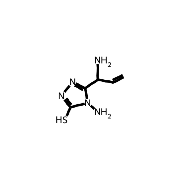 C=CC(N)c1nnc(S)n1N